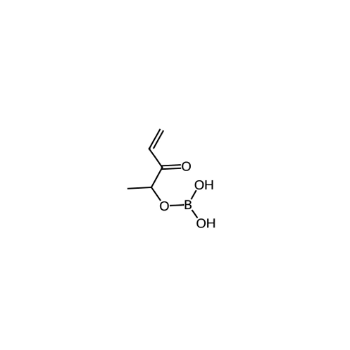 C=CC(=O)C(C)OB(O)O